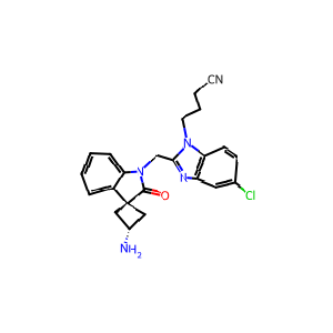 N#CCCCn1c(CN2c3ccccc3[C@]3(C[C@@H](N)C3)C2=O)nc2cc(Cl)ccc21